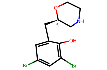 Oc1c(Br)cc(Br)cc1C[C@@H]1CNCCO1